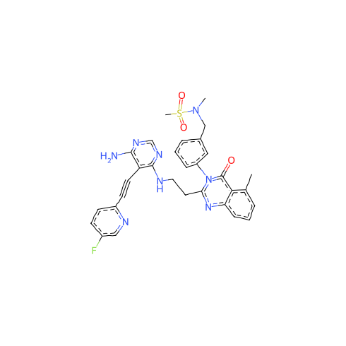 Cc1cccc2nc(CCNc3ncnc(N)c3C#Cc3ccc(F)cn3)n(-c3cccc(CN(C)S(C)(=O)=O)c3)c(=O)c12